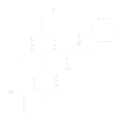 CCOc1cc(OC(C)C)c(F)c(C(Nc2ccc(C(=N)N)cc2)c2nc3c([nH]2)CCCC3)c1